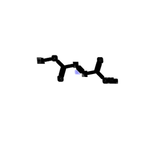 CCOC(=O)/N=N/C(=O)OC